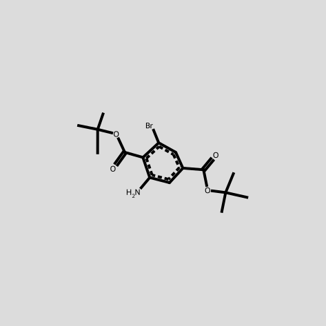 CC(C)(C)OC(=O)c1cc(N)c(C(=O)OC(C)(C)C)c(Br)c1